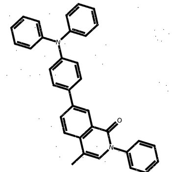 Cc1cn(-c2ccccc2)c(=O)c2cc(-c3ccc(N(c4ccccc4)c4ccccc4)cc3)ccc12